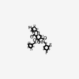 O=C(NCc1ccc(F)cc1F)c1cn2c(c(OCc3ccccc3)c1=O)C(=O)N1C[C@H]3CC[C@@]1(C3)C2